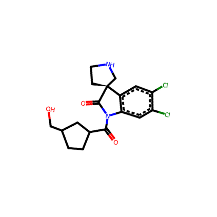 O=C(C1CCC(CO)C1)N1C(=O)[C@@]2(CCNC2)c2cc(Cl)c(Cl)cc21